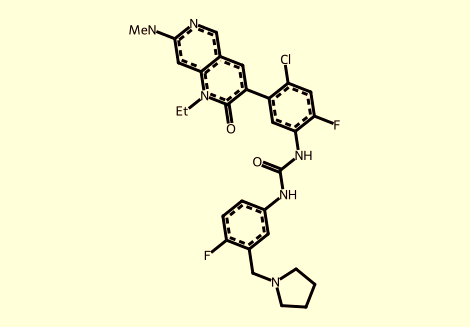 CCn1c(=O)c(-c2cc(NC(=O)Nc3ccc(F)c(CN4CCCC4)c3)c(F)cc2Cl)cc2cnc(NC)cc21